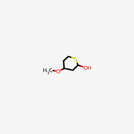 COC1CCSC(O)C1